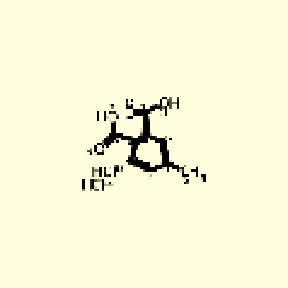 Cc1ccc(C(=O)O)c(C(=O)O)c1.Cl.Cl